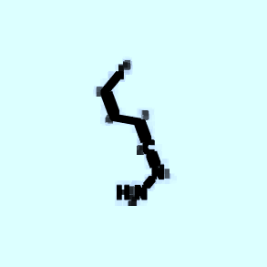 NN=C=C/C=C\I